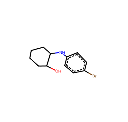 OC1CCCCC1Nc1ccc(Br)cc1